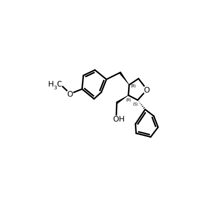 COc1ccc(C[C@H]2CO[C@H](c3ccccc3)[C@H]2CO)cc1